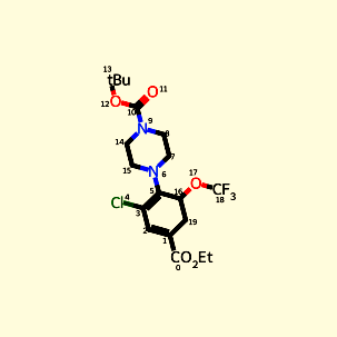 CCOC(=O)C1=CC(Cl)=C(N2CCN(C(=O)OC(C)(C)C)CC2)C(OC(F)(F)F)C1